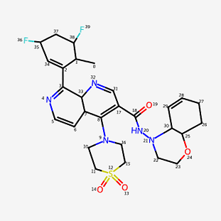 CC1C(C2=NC=CC3C(N4CCS(=O)(=O)CC4)=C(C(=O)NN4CCOC5CCC=CC54)C=NC23)=CC(F)CC1F